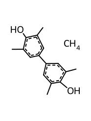 C.Cc1cc(-c2cc(C)c(O)c(C)c2)cc(C)c1O